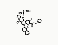 CC(C)(C)OC(=O)N[C@@H]1CCN(C(=O)c2cn3c4c(c(NCCN5CCCC5)c(F)cc4c2=O)Oc2c-3ccc3ccccc23)C1